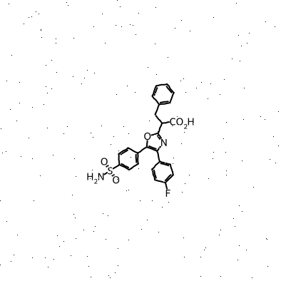 NS(=O)(=O)c1ccc(-c2oc(C(Cc3ccccc3)C(=O)O)nc2-c2ccc(F)cc2)cc1